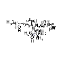 CNC[C@@H](O)COc1ccc(Cl)c(-c2nc(/C(C(C)=N)=C(\C)O)c(C)c(N3CC4(CCN(CC(F)F)C4)C3)n2)c1